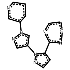 c1cnc(-c2ccnn2-c2cnn(-c3cccnc3)c2)nc1